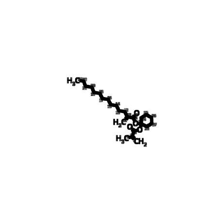 C=C(C)C(=O)OC1(OC(=O)C(=C)CCCCCCCCCCCC)CCCCC1